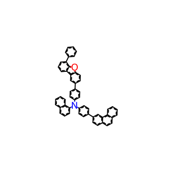 c1ccc(-c2cccc3c2oc2ccc(-c4ccc(N(c5ccc(-c6ccc7ccc8ccccc8c7c6)cc5)c5cccc6ccccc56)cc4)cc23)cc1